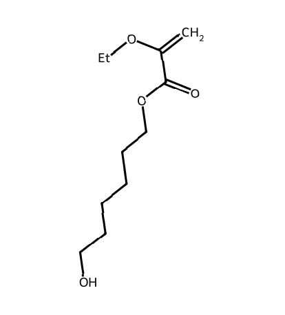 C=C(OCC)C(=O)OCCCCCCO